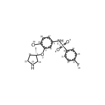 C[C@@]1(Oc2cc(NS(=O)(=O)c3ccc(F)cc3)ccc2Cl)CCNC1